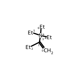 C=C(CC)[N+](CC)(CC)CC